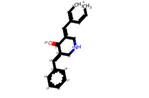 C\C=C/C(=C\C)/C=C1\CNC/C(=C\c2ccccc2)C1=O